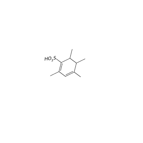 CC1=CC(C)=C(S(=O)(=O)O)C(C)C1C